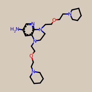 Nc1cnc2c(c1)N(CCOCCN1CCCCC1)CCN2CCOCCN1CCCCC1